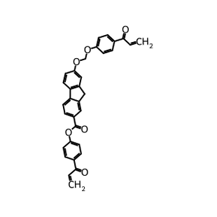 C=CC(=O)c1ccc(OCOc2ccc3c(c2)Cc2cc(C(=O)Oc4ccc(C(=O)C=C)cc4)ccc2-3)cc1